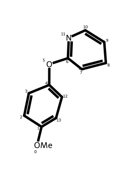 COc1ccc(Oc2[c]cccn2)cc1